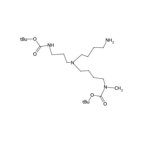 CN(CCCCN(CCCCN)CCCNC(=O)OC(C)(C)C)C(=O)OC(C)(C)C